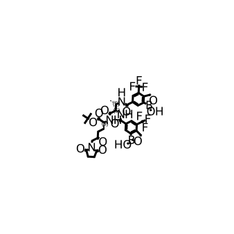 C[C@H](NC(=O)c1cc2c(c(C(F)(F)F)c1)COB2O)[C@H](NC(=O)c1cc2c(c(C(F)(F)F)c1)COB2O)C(=O)N[C@@H](CCC(=O)CN1C(=O)CCC1=O)C(=O)OC(C)(C)C